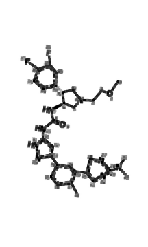 COCCN1C[C@@H](NC(=O)Nc2cc(-c3ccc(C)c(-c4cnc(N(C)C)nc4)c3)n[nH]2)[C@H](c2ccc(F)c(F)c2)C1